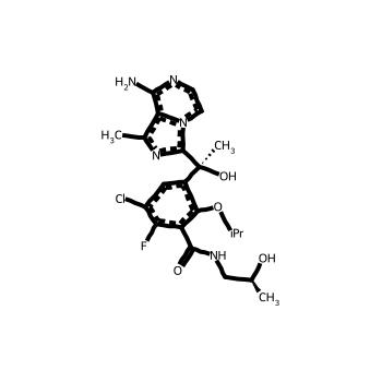 Cc1nc([C@@](C)(O)c2cc(Cl)c(F)c(C(=O)NC[C@H](C)O)c2OC(C)C)n2ccnc(N)c12